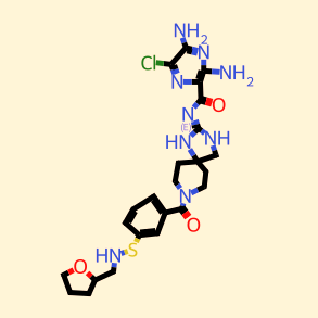 Nc1nc(N)c(C(=O)/N=C2\NCC3(CCN(C(=O)c4cccc(SNCC5CCCO5)c4)CC3)N2)nc1Cl